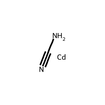 N#CN.[Cd]